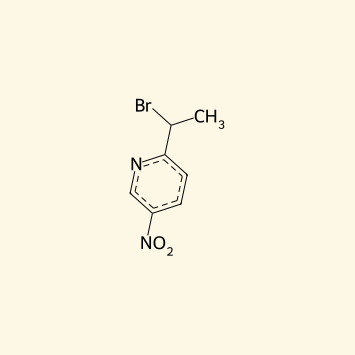 CC(Br)c1ccc([N+](=O)[O-])cn1